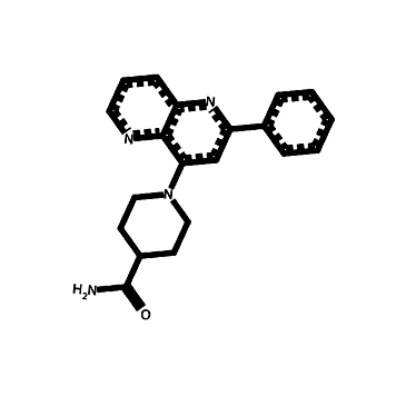 NC(=O)C1CCN(c2cc(-c3ccccc3)nc3cccnc23)CC1